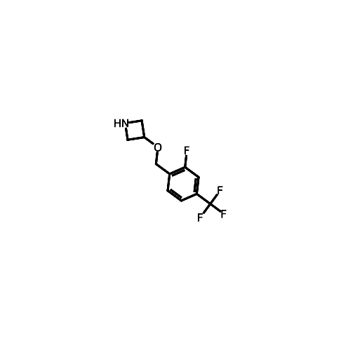 Fc1cc(C(F)(F)F)ccc1COC1CNC1